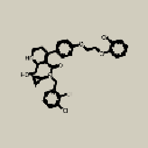 O=C(C1=C(c2ccc(OCCOc3ccccc3Cl)cc2)CCNC1CO)N(Cc1cccc(Cl)c1Cl)C1CC1